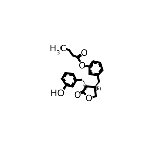 CCCC(=O)Oc1cccc(C[C@H]2COC(=O)[C@@H]2Cc2cccc(O)c2)c1